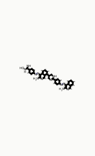 N=C(NO)c1ccc(/N=N/c2c(N)ncc3c(C4CN=C(c5ccc(/N=N/c6c(N)ncc7ccccc67)cc5)NC4)cccc23)cc1